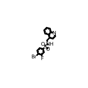 O=S(=O)(NCc1ccnc2ccccc12)c1ccc(Br)c(F)c1